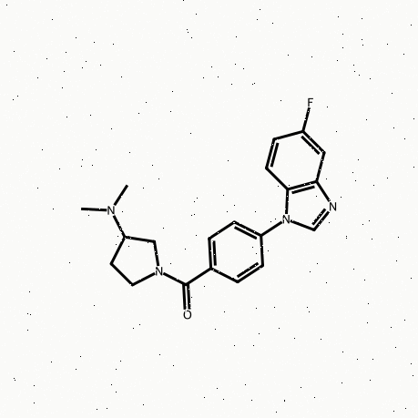 CN(C)C1CCN(C(=O)c2ccc(-n3cnc4cc(F)ccc43)cc2)C1